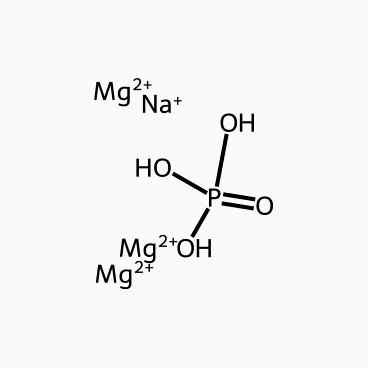 O=P(O)(O)O.[Mg+2].[Mg+2].[Mg+2].[Na+]